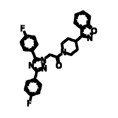 O=C(Cn1nc(-c2ccc(F)cc2)nc1-c1ccc(F)cc1)N1CCC(c2noc3ccccc23)CC1